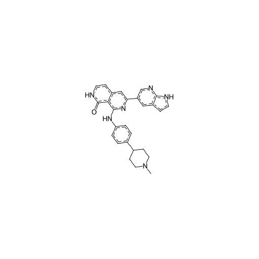 CN1CCC(c2ccc(Nc3nc(-c4cnc5[nH]ccc5c4)cc4cc[nH]c(=O)c34)cc2)CC1